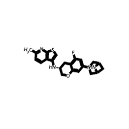 Cc1ccc2c(N[C@H]3COc4cc(N5CC6CC(C5)N6)cc(F)c4C3)csc2n1